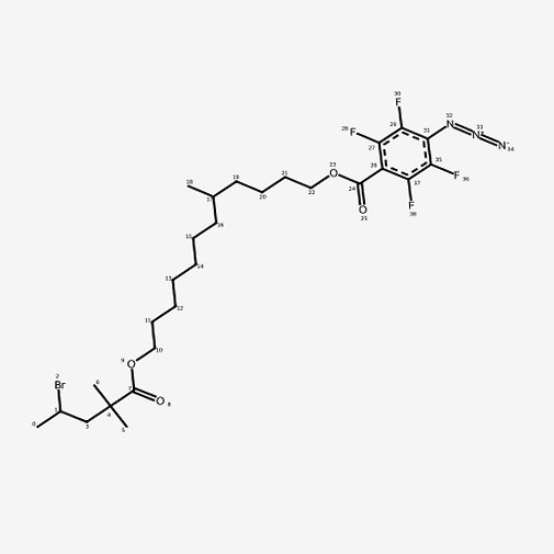 CC(Br)CC(C)(C)C(=O)OCCCCCCCC(C)CCCCOC(=O)c1c(F)c(F)c(N=[N+]=[N-])c(F)c1F